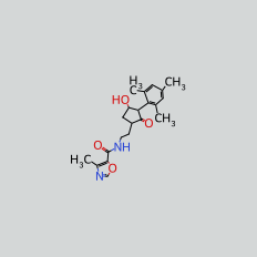 Cc1cc(C)c(C2C(=O)C(CCNC(=O)c3ocnc3C)CC2O)c(C)c1